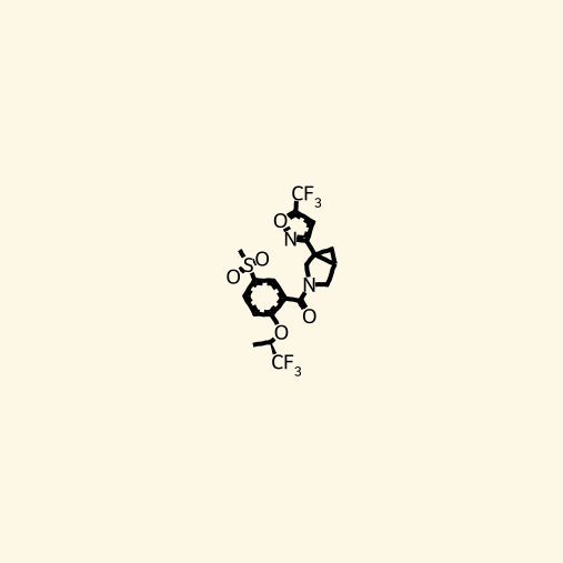 C[C@@H](Oc1ccc(S(C)(=O)=O)cc1C(=O)N1CC2CC2(c2cc(C(F)(F)F)on2)C1)C(F)(F)F